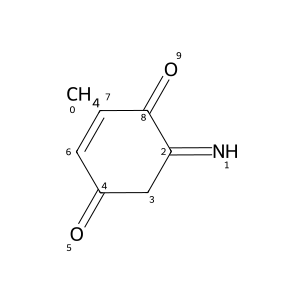 C.N=C1CC(=O)C=CC1=O